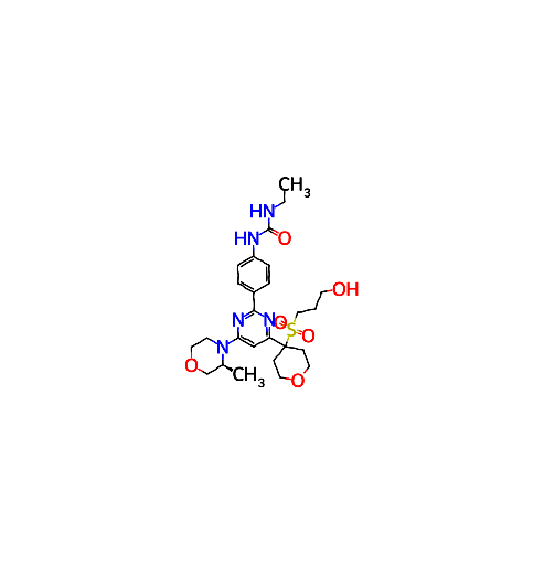 CCNC(=O)Nc1ccc(-c2nc(N3CCOC[C@@H]3C)cc(C3(S(=O)(=O)CCCO)CCOCC3)n2)cc1